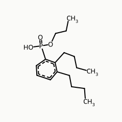 CCCCc1cccc(P(=O)(O)OCCC)c1CCCC